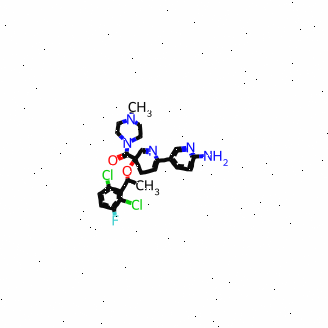 CC(OC1(C(=O)N2CCN(C)CC2)C=NC(c2ccc(N)nc2)=CC1)c1c(Cl)ccc(F)c1Cl